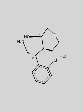 Cl.NC[C@@H](c1ccccc1Cl)[C@@H]1CCCC[C@@H]1O